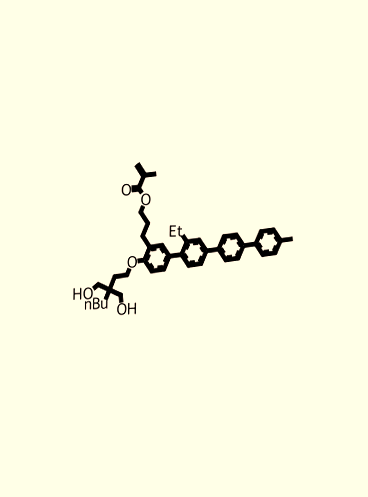 C=C(C)C(=O)OCCCc1cc(-c2ccc(-c3ccc(-c4ccc(C)cc4)cc3)cc2CC)ccc1OCCC(CO)(CO)CCCC